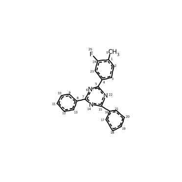 Cc1ccc(-c2nc(-c3ccccc3)nc(-c3ccccc3)n2)cc1F